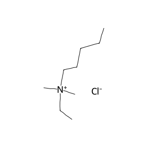 CCCCC[N+](C)(C)CC.[Cl-]